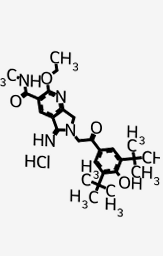 CCOc1nc2c(cc1C(=O)NC)C(=N)N(CC(=O)c1cc(C(C)(C)C)c(O)c(C(C)(C)C)c1)C2.Cl